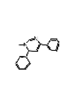 CN1C=NC(c2ccccc2)=CC1c1ccccc1